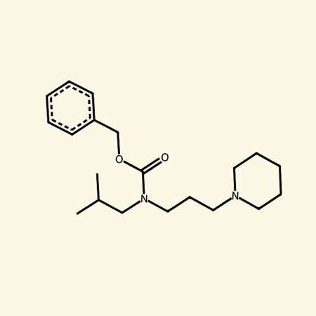 CC(C)CN(CCCN1CCCCC1)C(=O)OCc1ccccc1